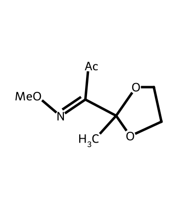 CO/N=C(\C(C)=O)C1(C)OCCO1